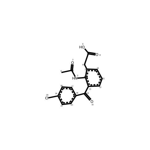 CC(=O)Nc1c(CC(=O)O)cccc1C(=O)c1ccc(Cl)cc1